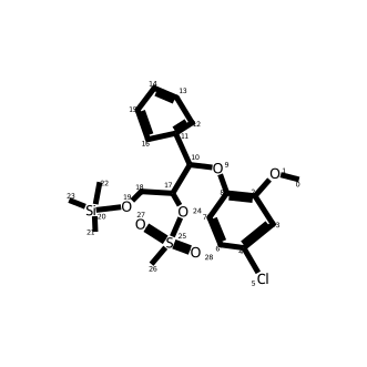 COc1cc(Cl)ccc1OC(c1ccccc1)C(CO[Si](C)(C)C)OS(C)(=O)=O